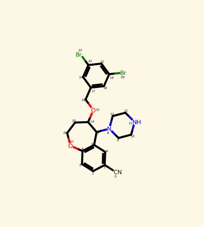 N#Cc1ccc2c(c1)C(N1CCNCC1)C(OCc1cc(Br)cc(Br)c1)CCO2